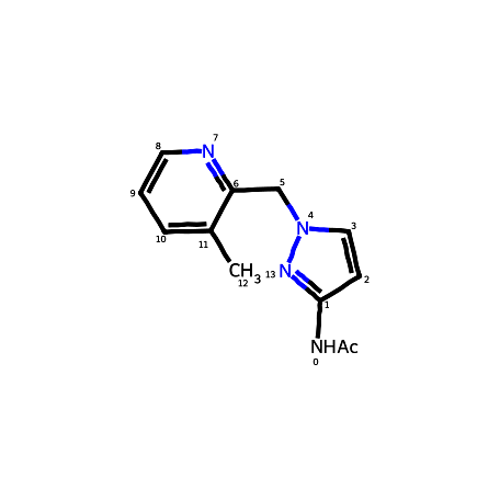 CC(=O)Nc1ccn(Cc2ncccc2C)n1